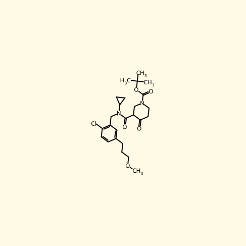 COCCCc1ccc(Cl)c(CN(C(=O)C2CN(C(=O)OC(C)(C)C)CCC2=O)C2CC2)c1